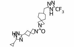 O=C(N1CC2(CCC(Cc3nnc(C(F)(F)F)[nH]3)CC2)C1)N1CC2(CC(c3nc(C4CC4)n[nH]3)C2)C1